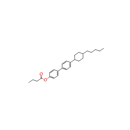 CCCCCC1CCC(c2ccc(-c3ccc(OC(=O)CCC)cc3)cc2)CC1